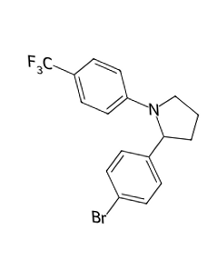 FC(F)(F)c1ccc(N2CCCC2c2ccc(Br)cc2)cc1